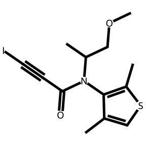 COCC(C)N(C(=O)C#CI)c1c(C)csc1C